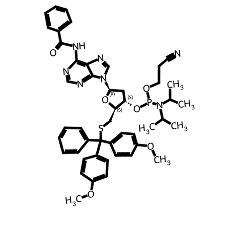 COc1ccc(C(SC[C@H]2O[C@@H](n3cnc4c(NC(=O)c5ccccc5)ncnc43)C[C@@H]2OP(OCCC#N)N(C(C)C)C(C)C)(c2ccccc2)c2ccc(OC)cc2)cc1